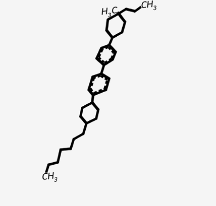 CCCCCCCC1CCC(c2ccc(-c3ccc(C4CCC(C)(CCC)CC4)cc3)cc2)CC1